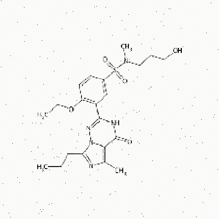 CCCc1nc(C)c2c(=O)[nH]c(-c3cc(S(=O)(=O)N(C)CCCO)ccc3OCC)nn12